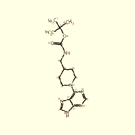 CC(C)(C)OC(=O)NCC1CCN(c2ncnc3[nH]cnc23)CC1